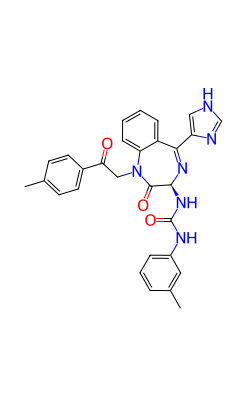 Cc1ccc(C(=O)CN2C(=O)[C@H](NC(=O)Nc3cccc(C)c3)N=C(c3c[nH]cn3)c3ccccc32)cc1